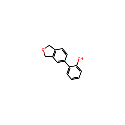 Oc1ccccc1-c1ccc2c(c1)COC2